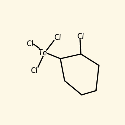 ClC1CCCCC1[Te](Cl)(Cl)Cl